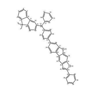 CC1(C)c2ccccc2-c2cc(N(c3ccccc3)c3ccc(-c4ccc5c(c4)oc4cc6oc(-c7ccccc7)nc6cc45)cc3)ccc21